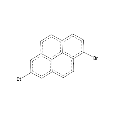 CCc1cc2ccc3ccc(Br)c4ccc(c1)c2c34